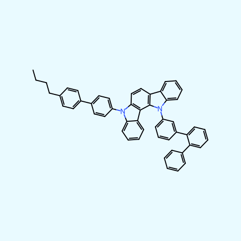 CCCCc1ccc(-c2ccc(-n3c4ccccc4c4c3ccc3c5ccccc5n(-c5cccc(-c6ccccc6-c6ccccc6)c5)c34)cc2)cc1